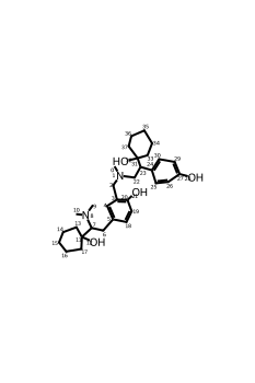 CN(Cc1cc(CC(N(C)C)C2(O)CCCCC2)ccc1O)CC(c1ccc(O)cc1)C1(O)CCCCC1